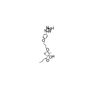 CCCC(=O)c1ccc(OCCCCOc2ccc(-c3nn[nH]n3)cc2)c(C)c1O